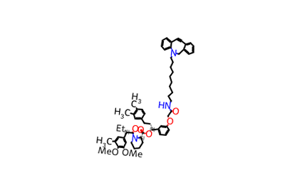 CC[C@H](C(=O)N1CCCC[C@H]1C(=O)O[C@H](CCc1ccc(C)c(C)c1)c1cccc(OCC(=O)NCCCCCCCCCCN2Cc3ccccc3C#Cc3ccccc32)c1)c1cc(C)c(OC)c(OC)c1